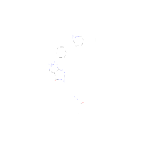 O=C(C1CC1)N1CCC(O)(Cn2cnc3c(cnn3-c3ccc(Oc4ccc(C(F)(F)F)cn4)cc3)c2=O)CC1